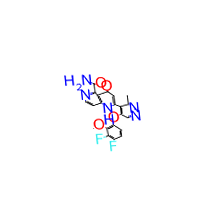 COc1c(Oc2cnnc(C)c2-c2cc(=O)c3c(C(N)=O)nccc3[nH]2)ccc(F)c1F